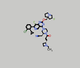 CCN1CC[C@@H]1/C=C/C(=O)N1CCN(c2nc(OC[C@@]34CCCN3C[C@H](F)C4)nc3c(F)c(-c4cccc(Cl)c4C4CC4)ncc23)C[C@@H]1CC#N